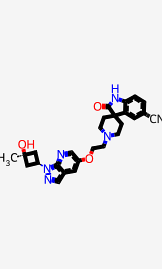 C[C@]1(O)C[C@H](n2ncc3cc(OCCN4CCC5(CC4)C(=O)Nc4ccc(C#N)cc45)cnc32)C1